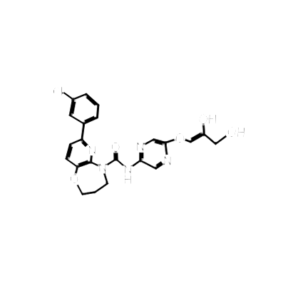 O=C(Nc1cnc(O/C=C(\O)CO)cn1)N1CCCOc2ccc(-c3cccc(Cl)c3)nc21